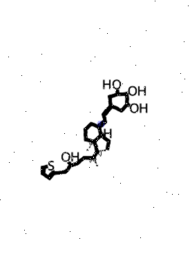 C[C@H](CCC(O)Cc1cccs1)[C@H]1CC[C@H]2/C(=C/C=C3CC(O)C(O)C(O)C3)CCC[C@]12C